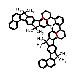 CC1(C)c2cc(N(c3ccc4c(c3)C(C)(C)c3cc5c(cc3-4)C(C)(C)c3ccc4ccccc4c3-5)c3c(C4CCCCC4)cccc3C3CCCCC3)ccc2-c2cc3c(cc21)-c1c(ccc2ccccc12)C3(C)C